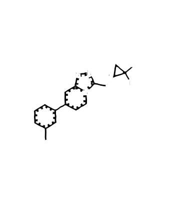 Cc1cccc(-c2ccn3c(C[C@@H]4CC4(F)F)nnc3c2)c1